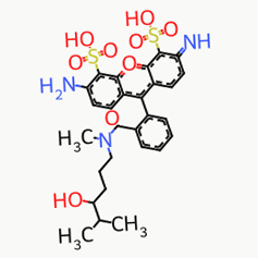 CC(C)C(O)CCCN(C)C(=O)c1ccccc1-c1c2ccc(=N)c(S(=O)(=O)O)c-2oc2c(S(=O)(=O)O)c(N)ccc12